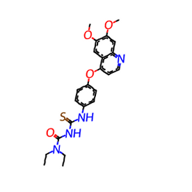 CCN(CC)C(=O)NC(=S)Nc1ccc(Oc2ccnc3cc(OC)c(OC)cc23)cc1